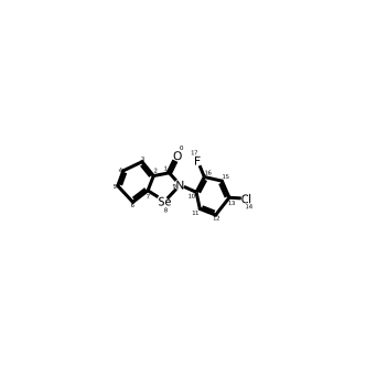 O=c1c2ccccc2[se]n1-c1ccc(Cl)cc1F